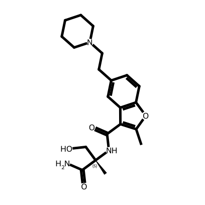 Cc1oc2ccc(CCN3CCCCC3)cc2c1C(=O)N[C@@](C)(CO)C(N)=O